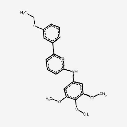 CCOc1cccc(-c2cccc(Nc3cc(OC)c(OC)c(OC)c3)n2)c1